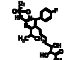 CC(C)c1nc(NS(C)(=O)=O)nc(-c2ccc(F)cc2)c1C=CCC[C@@H](O)C(O)C(=O)O